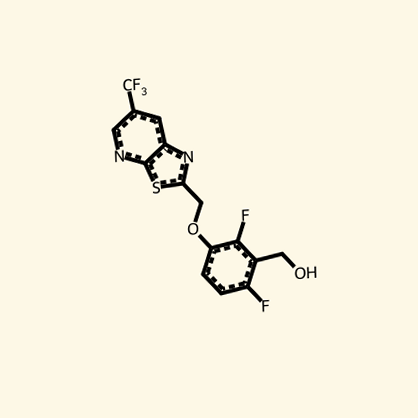 OCc1c(F)ccc(OCc2nc3cc(C(F)(F)F)cnc3s2)c1F